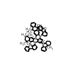 CC1(C)CCC(C)(C)c2cc3c(cc21)B1c2cc4c(cc2N(c2cccc5oc6ccccc6c25)c2cc(N5c6ccccc6C6(C)CCCCC56C)cc(c21)N3c1cccc2c1oc1ccccc12)C(C)(C)c1ccccc1C4(C)C